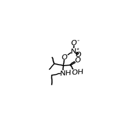 CCNC(O[N+](=O)[O-])(C(=O)O)C(C)C